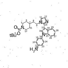 CC(C)(C)OC(=O)N1CCC(CCn2ccnc2-c2cn(-c3ccc(N)cc3)c3ccccc23)CC1